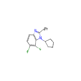 CC(C)c1nc2ccc(F)c(F)c2n1C1CCCC1